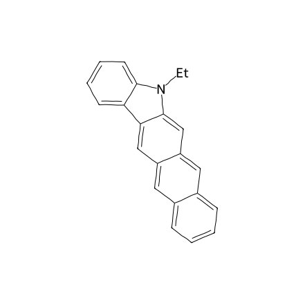 CCn1c2ccccc2c2cc3cc4ccccc4cc3cc21